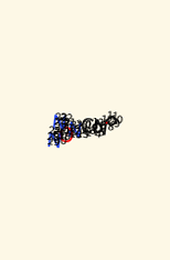 N#CC1(Cc2ccc(-c3ccccc3)cc2)CCN(C(=O)c2cccnc2-c2ccncc2)CC1